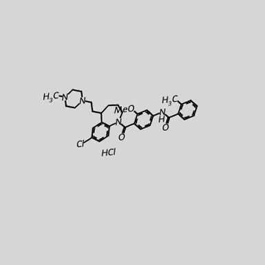 COc1cc(NC(=O)c2ccccc2C)ccc1C(=O)N1CCCC(CCN2CCN(C)CC2)c2cc(Cl)ccc21.Cl